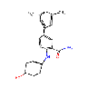 Cc1cc(C)cc(-c2ccc(NC3CCC(O)CC3)c(C(N)=O)c2)c1